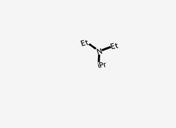 [CH2]CN(CC)C(C)C